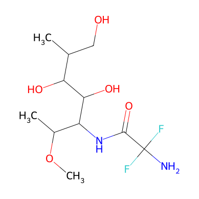 COC(C)C(NC(=O)C(N)(F)F)C(O)C(O)C(C)CO